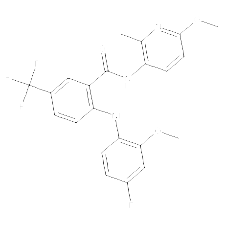 COc1ccc(NC(=O)c2cc(C(F)(F)F)ccc2Nc2ccc(F)cc2OC)c(C)n1